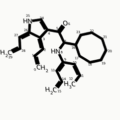 C=C/C=c1/c(C(=O)C(NC(/C=C\C)=C/C=C)C2CCCCCCC2)c[nH]/c1=C/C=C